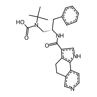 CC(C)(C)N(C[C@H](Cc1ccccc1)NC(=O)c1c[nH]c2c1CCc1cnccc1-2)C(=O)O